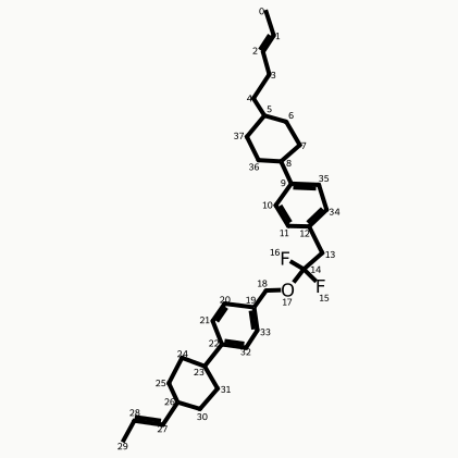 CC=CCCC1CCC(c2ccc(CC(F)(F)OCc3ccc(C4CCC(C=CC)CC4)cc3)cc2)CC1